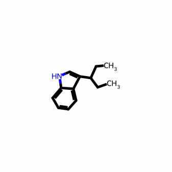 CCC(CC)c1c[nH]c2ccccc12